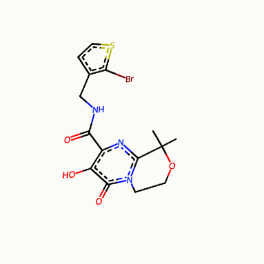 CC1(C)OCCn2c1nc(C(=O)NCc1ccsc1Br)c(O)c2=O